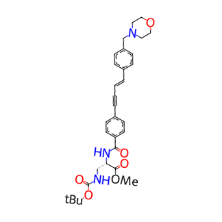 COC(=O)[C@H](CNC(=O)OC(C)(C)C)NC(=O)c1ccc(C#CC=Cc2ccc(CN3CCOCC3)cc2)cc1